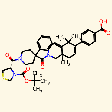 CC(C)(C)OC(=O)N1CSC[C@@H]1C(=O)N1CCC(C(=O)N2CC=C3C(C)(C)C(c4ccc(C(=O)O)cc4)=CC[C@]3(C)C2)(c2ccccc2)CC1